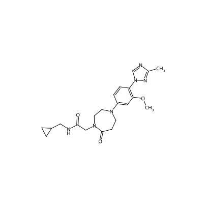 COc1cc(N2CCC(=O)N(CC(=O)NCC3CC3)CC2)ccc1-n1cnc(C)n1